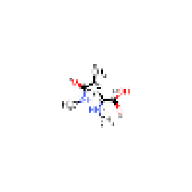 CCC(=O)NC.CNC(C)C(=O)O